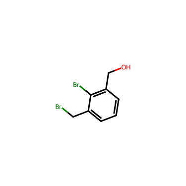 OCc1cccc(CBr)c1Br